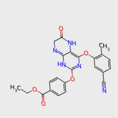 CCOC(=O)c1ccc(OC2=NC(Oc3cc(C#N)ccc3C)=C3NC(=O)CN=C3N2)cc1